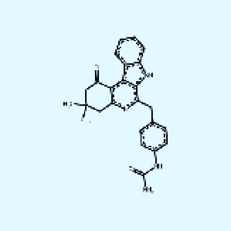 CC1(C)CC(=O)c2c(nc(Cc3ccc(NC(N)=O)cc3)c3[nH]c4ccccc4c23)C1